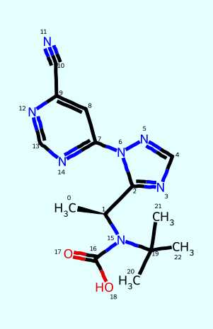 C[C@@H](c1ncnn1-c1cc(C#N)ncn1)N(C(=O)O)C(C)(C)C